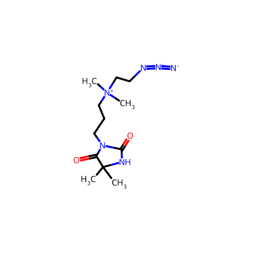 CC1(C)NC(=O)N(CCC[N+](C)(C)CCN=[N+]=[N-])C1=O